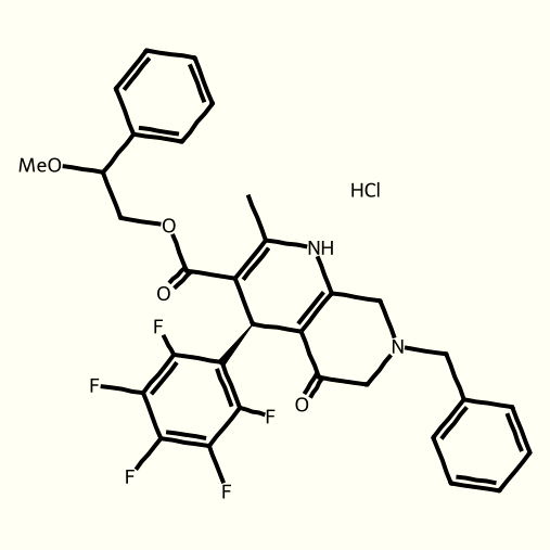 COC(COC(=O)C1=C(C)NC2=C(C(=O)CN(Cc3ccccc3)C2)[C@H]1c1c(F)c(F)c(F)c(F)c1F)c1ccccc1.Cl